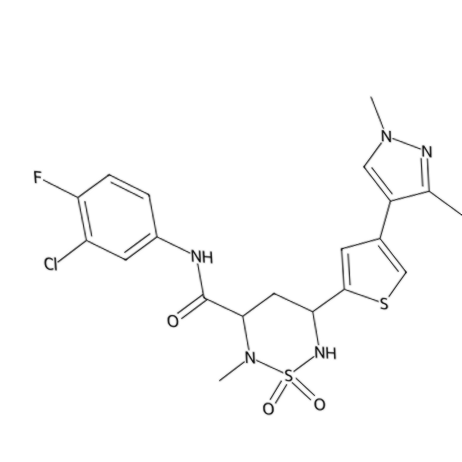 Cc1nn(C)cc1-c1csc(C2CC(C(=O)Nc3ccc(F)c(Cl)c3)N(C)S(=O)(=O)N2)c1